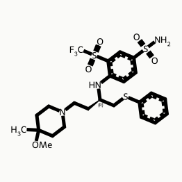 COC1(C)CCN(CC[C@H](CSc2ccccc2)Nc2ccc(S(N)(=O)=O)cc2S(=O)(=O)C(F)(F)F)CC1